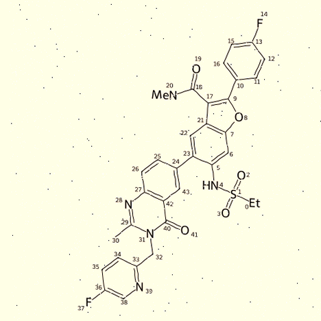 CCS(=O)(=O)Nc1cc2oc(-c3ccc(F)cc3)c(C(=O)NC)c2cc1-c1ccc2nc(C)n(Cc3ccc(F)cn3)c(=O)c2c1